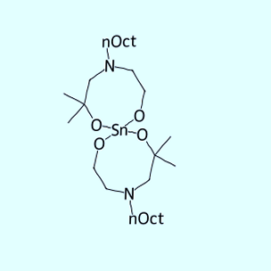 CCCCCCCCN1CC[O][Sn]2([O]CCN(CCCCCCCC)CC(C)(C)[O]2)[O]C(C)(C)C1